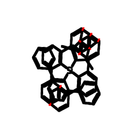 CC1=C(C)C(C)C([Si](c2c(-c3ccccc3)cccc2-c2ccccc2)(c2c(-c3ccccc3)cccc2-c2ccccc2)c2c(-c3ccccc3)cccc2-c2ccccc2)=C1C